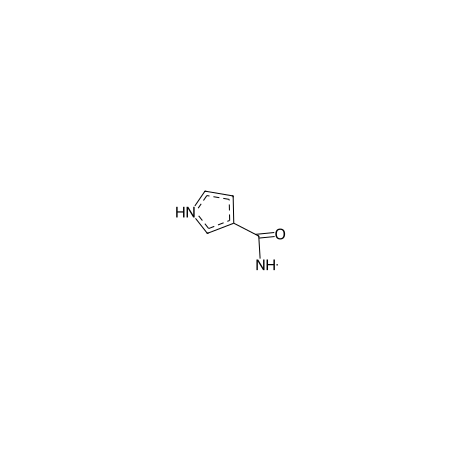 [NH]C(=O)c1cc[nH]c1